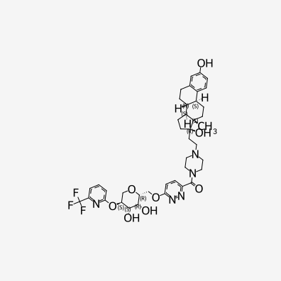 C[C@]12CC[C@@H]3c4ccc(O)cc4CC[C@H]3[C@@H]1CC[C@@]2(O)CCN1CCN(C(=O)c2ccc(OC[C@H]3OC[C@H](Oc4cccc(C(F)(F)F)n4)[C@@H](O)[C@H]3O)nn2)CC1